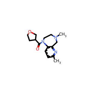 Cc1ccc2c(n1)CN(C)CCN2C(=O)C1CCOC1